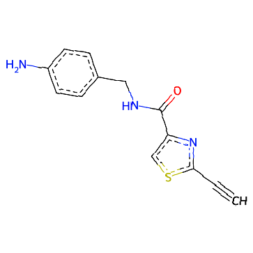 C#Cc1nc(C(=O)NCc2ccc(N)cc2)cs1